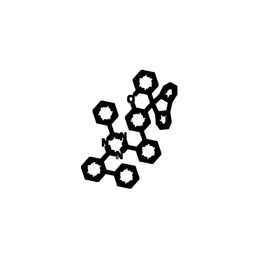 c1ccc(-c2nc(-c3ccccc3-c3ccccc3)nc(-c3ccccc3-c3ccc4c(c3)C3(c5ccccc5O4)c4ccccc4-c4ccccc43)n2)cc1